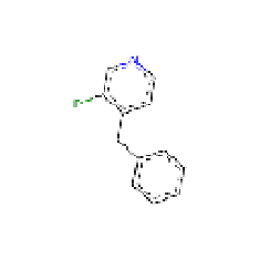 Fc1cnccc1Cc1ccccc1